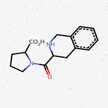 O=C(O)C1CCCN1C(=O)C1Cc2ccccc2CN1